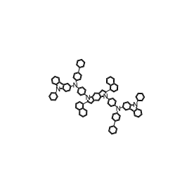 c1ccc(-c2ccc(N(c3ccc(-n4c(-c5cccc6ccccc56)cc5cc6c(cc(-c7cccc8ccccc78)n6-c6ccc(N(c7ccc(-c8ccccc8)cc7)c7ccc8c(c7)c7ccccc7n8-c7ccccc7)cc6)cc54)cc3)c3ccc4c(c3)c3ccccc3n4-c3ccccc3)cc2)cc1